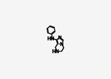 c1ccc(Nc2ncn3c2CNCC3)cc1